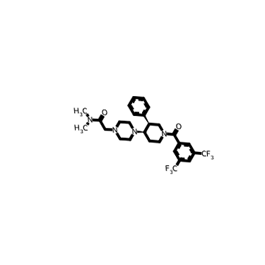 CN(C)C(=O)CN1CCN([C@@H]2CCN(C(=O)c3cc(C(F)(F)F)cc(C(F)(F)F)c3)C[C@@H]2c2ccccc2)CC1